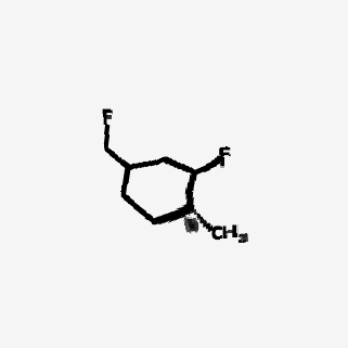 C[C@@H]1CCC(CF)CC1F